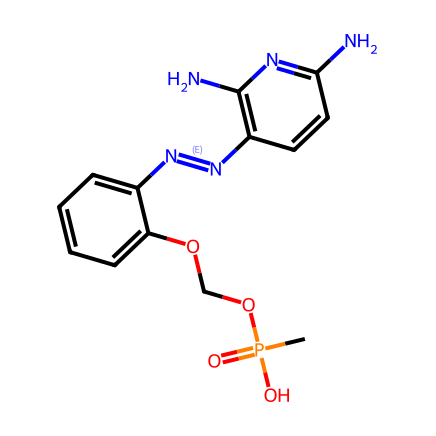 CP(=O)(O)OCOc1ccccc1/N=N/c1ccc(N)nc1N